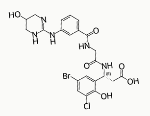 O=C(O)C[C@@H](NC(=O)CNC(=O)c1cccc(NC2=NCC(O)CN2)c1)c1cc(Br)cc(Cl)c1O